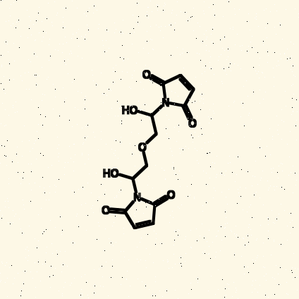 O=C1C=CC(=O)N1C(O)COCC(O)N1C(=O)C=CC1=O